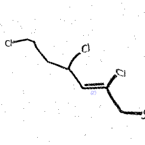 [S]C/C(Cl)=C/C(Cl)CCCl